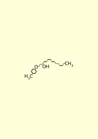 CC/C=C\CC/C=C/C=C\C=C\[C@@H](O)CCOc1ccc(C)cc1